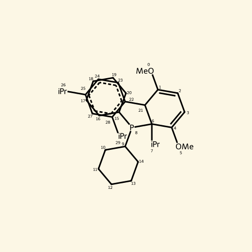 COC1=CC=C(OC)C(C(C)C)(P(C2CCCCC2)C2CCCCC2)C1c1ccc(C(C)C)cc1C(C)C